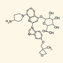 CC1(COc2ccc3c(c2)ncn3-c2cc(OC3OC(C(=O)O)C(O)C(O)C3O)c3cccc(N4CCC(N)CC4)c3n2)COC1